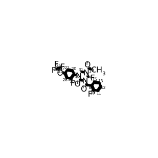 CC(=O)N1CN(C(=O)c2c(F)cccc2F)C(=O)N(c2ccc(OC(F)(F)F)cc2F)C1